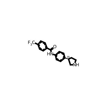 O=C(Nc1ccc([C@H]2CCNC2)cc1)c1ccc(C(F)(F)F)cc1